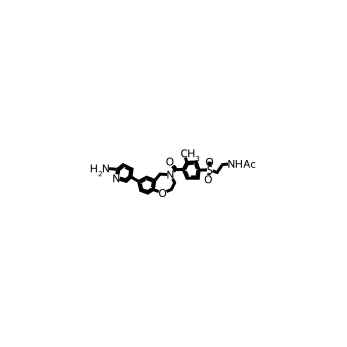 CC(=O)NCCS(=O)(=O)c1ccc(C(=O)N2CCOc3ccc(-c4ccc(N)nc4)cc3C2)c(C)c1